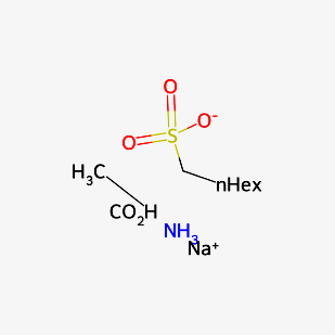 CC(=O)O.CCCCCCCS(=O)(=O)[O-].N.[Na+]